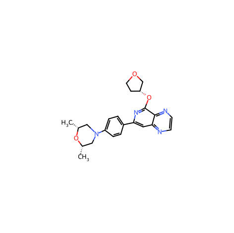 C[C@@H]1CN(c2ccc(-c3cc4nccnc4c(O[C@@H]4CCOC4)n3)cc2)C[C@H](C)O1